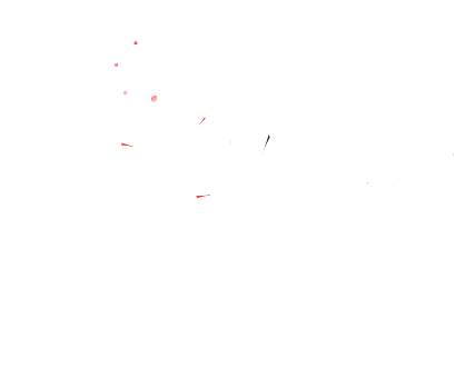 COC(=O)N1OC[C@@H]2[C@@H](O[C@H]3O[C@H](COCc4ccccc4)[C@](O)([C@@H]4O[C@H](C)[C@@H](OCc5ccccc5)[C@H](OCc5ccccc5)[C@H]4OCc4ccccc4)[C@H](OCc4ccccc4)[C@H]3OCc3ccccc3)[C@@H](OCc3ccccc3)C[C@@H]21